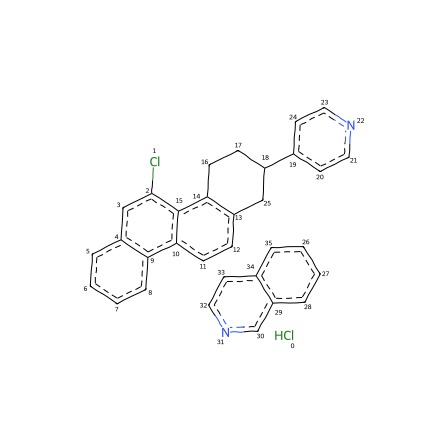 Cl.Clc1cc2ccccc2c2ccc3c(c12)CCC(c1ccncc1)C3.c1ccc2cnccc2c1